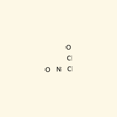 [C].[C].[N].[O].[O]